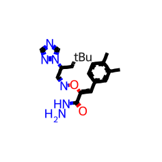 Cc1ccc(C=C(O/N=C\C(CC(C)(C)C)n2cncn2)C(=O)NN)cc1C